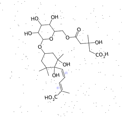 C/C(=C\C=C/C1(O)C(C)(C)CC(OC2OC(COC(=O)CC(C)(O)CC(=O)O)C(O)C(O)C2O)CC1(C)O)C(=O)O